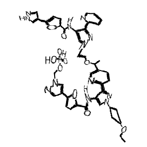 CCO[C@H]1C[C@@H](n2cc(NC(=O)c3ccc(-c4cnn(COP(=O)(O)O)c4)o3)c(-c3ccc(C(C)OCCn4cc(NC(=O)c5ccc(-c6cn[nH]c6)o5)c(-c5ccccn5)n4)cn3)n2)C1